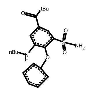 CCCCNc1cc(C(=O)C(C)(C)C)cc(S(N)(=O)=O)c1Oc1ccccc1